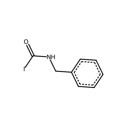 O=C(I)NCc1ccccc1